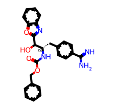 N=C(N)c1ccc(C[C@H](NC(=O)OCc2ccccc2)C(O)c2nc3ccccc3o2)cc1